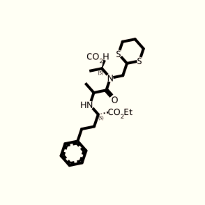 CCOC(=O)[C@H](CCc1ccccc1)NC(C)C(=O)N(CC1SCCCS1)[C@@H](C)C(=O)O